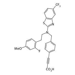 COc1ccc(CCN(Cc2ccc(C#CC(=O)O)cc2)c2nc3cc(C(F)(F)F)ccc3s2)c(F)c1